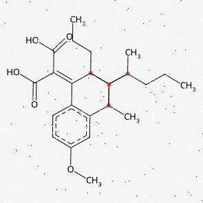 CCCCC(CC)CC(=C(C(=O)O)C(=O)O)c1ccc(OC)cc1CC(CC)CCCC